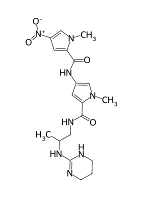 CC(CNC(=O)c1cc(NC(=O)c2cc([N+](=O)[O-])cn2C)cn1C)NC1=NCCCN1